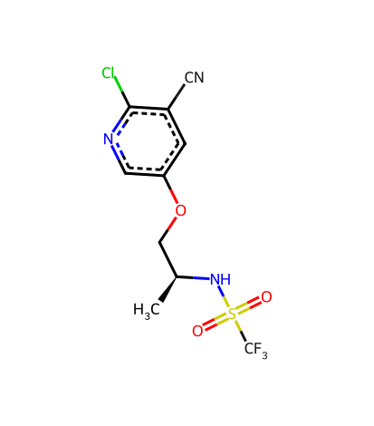 C[C@@H](COc1cnc(Cl)c(C#N)c1)NS(=O)(=O)C(F)(F)F